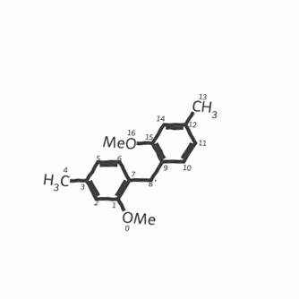 COc1cc(C)ccc1[CH]c1ccc(C)cc1OC